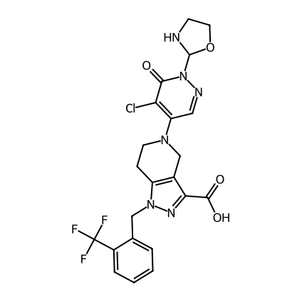 O=C(O)c1nn(Cc2ccccc2C(F)(F)F)c2c1CN(c1cnn(C3NCCO3)c(=O)c1Cl)CC2